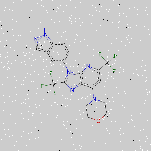 FC(F)(F)c1cc(N2CCOCC2)c2nc(C(F)(F)F)n(-c3ccc4[nH]ncc4c3)c2n1